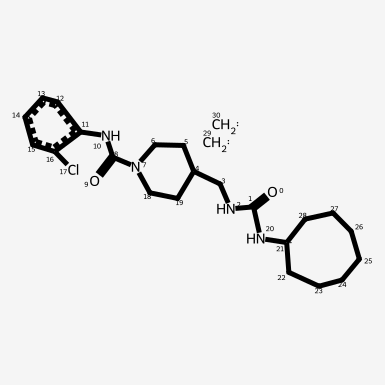 O=C(NCC1CCN(C(=O)Nc2ccccc2Cl)CC1)N[C]1CCCCCCC1.[CH2].[CH2]